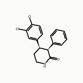 O=C1NCC[C@@H](c2ccc(Cl)c(Cl)c2)[C@H]1c1ccccc1